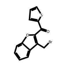 O=C(c1cccs1)c1oc2ccccc2c1CBr